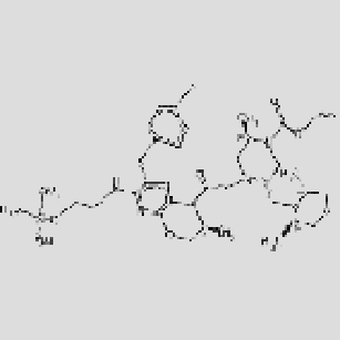 C[C@@H]1CN(CC(=O)N2c3cc(Cc4ccc(F)cc4)c(NCCO[Si](C)(C)C(C)(C)C)nc3OC[C@@H]2C)[C@@H](CN2[C@H](C)COC[C@H]2C)CN1C(=O)OC(C)(C)C